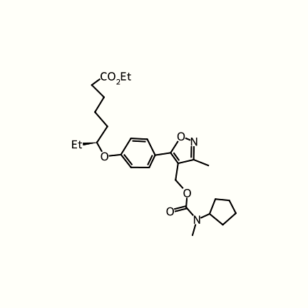 CCOC(=O)CCCC[C@H](CC)Oc1ccc(-c2onc(C)c2COC(=O)N(C)C2CCCC2)cc1